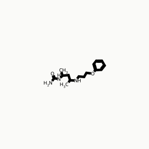 CC(CC(C)NC(N)=O)NCCCOc1ccccc1